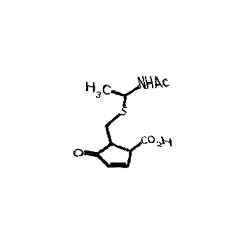 CC(=O)NC(C)SCC1C(=O)C=CC1C(=O)O